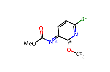 COC(=O)/N=C1\C=CC(Br)=N[C@@H]1OC(F)(F)F